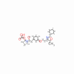 Cc1oc(-c2ccccc2)nc1CCOc1cccc(CC(=O)N2CCC[C@H]2OC(=O)O)c1